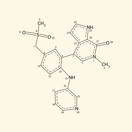 Cn1cc(-c2cc(CS(C)(=O)=O)ccc2Nc2cccnc2)c2cc[nH]c2c1=O